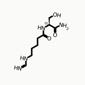 N=CNCCCCC(=O)N[C@@H](CO)C(N)=O